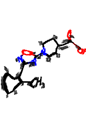 Cc1ccccc1-c1noc(N2CCC(C(=O)O)CC2)n1